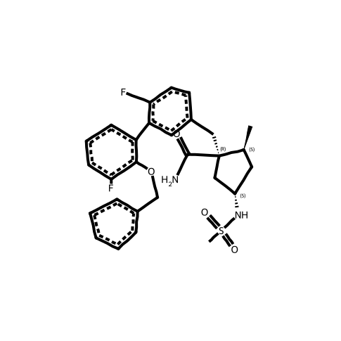 C[C@H]1C[C@H](NS(C)(=O)=O)C[C@@]1(Cc1ccc(F)c(-c2cccc(F)c2OCc2ccccc2)c1)C(N)=O